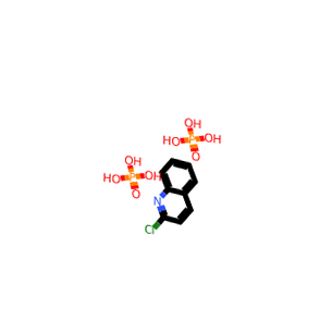 Clc1ccc2ccccc2n1.O=P(O)(O)O.O=P(O)(O)O